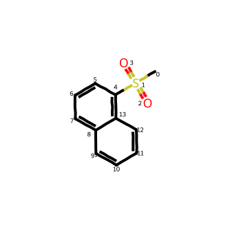 CS(=O)(=O)c1cccc2[c]cccc12